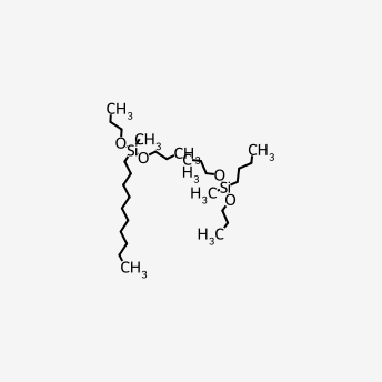 CCCCCCCCCC[Si](C)(OCCC)OCCC.CCCC[Si](C)(OCCC)OCCC